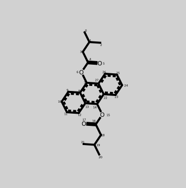 CC(C)CC(=O)Oc1c2ccccc2c(OC(=O)CC(C)C)c2ccccc12